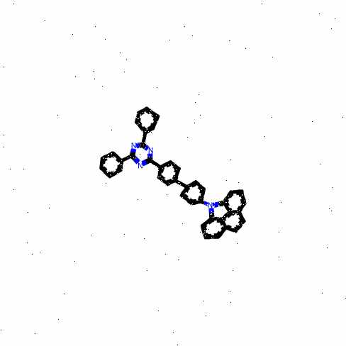 c1ccc(-c2nc(-c3ccccc3)nc(-c3ccc(-c4ccc(-n5c6cccc7ccc8cccc5c8c76)cc4)cc3)n2)cc1